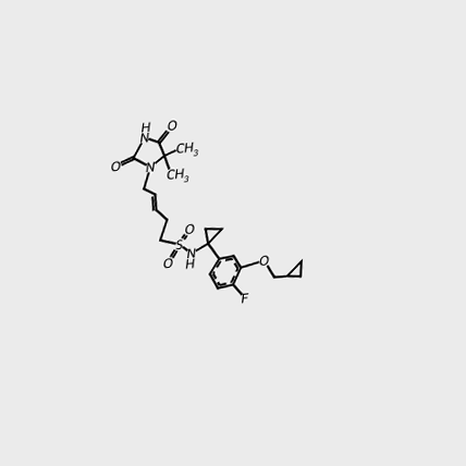 CC1(C)C(=O)NC(=O)N1C/C=C/CCS(=O)(=O)NC1(c2ccc(F)c(OCC3CC3)c2)CC1